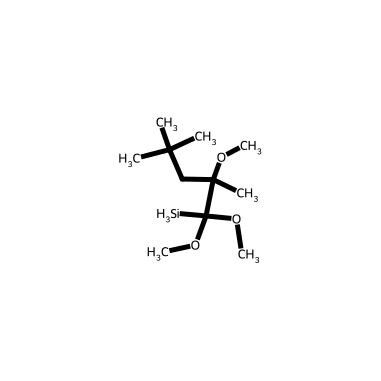 COC(C)(CC(C)(C)C)C([SiH3])(OC)OC